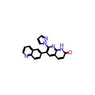 O=c1ccc2cc(-c3ccc4ncccc4c3)c(-n3cccn3)nc2[nH]1